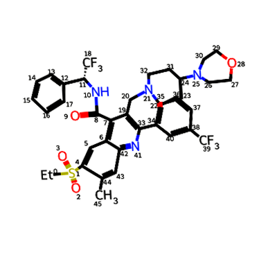 CCS(=O)(=O)c1cc2c(C(=O)N[C@H](c3ccccc3)C(F)(F)F)c(CN3CCC(N4CCOCC4)CC3)c(-c3cccc(C(F)(F)F)c3)nc2cc1C